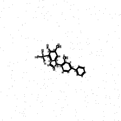 Oc1cc(-c2ccccc2)ccc1-n1ncc2c(C(F)(F)F)c(F)c(O)cc21